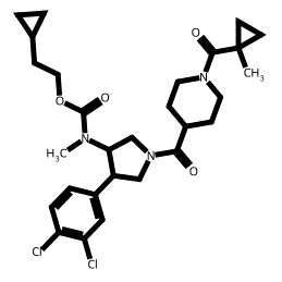 CN(C(=O)OCCC1CC1)C1CN(C(=O)C2CCN(C(=O)C3(C)CC3)CC2)CC1c1ccc(Cl)c(Cl)c1